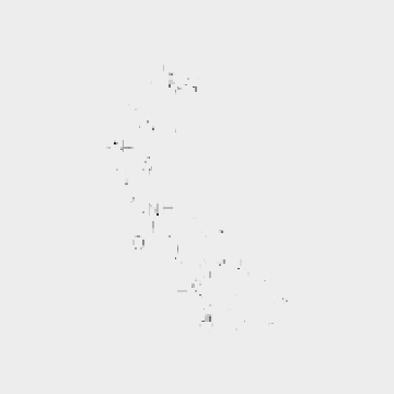 O=C(NCc1cnc(N2CCS(=O)(=O)CC2)s1)c1ccc2c(c1)NC(=O)c1ccccc1O2